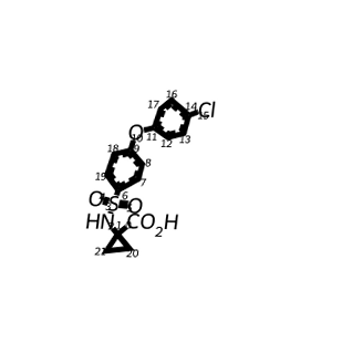 O=C(O)C1(NS(=O)(=O)c2ccc(Oc3ccc(Cl)cc3)cc2)CC1